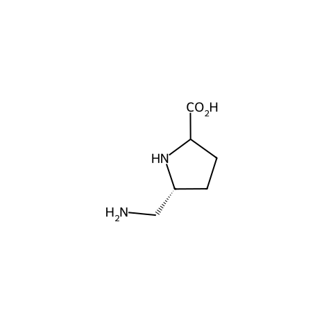 NC[C@H]1CCC(C(=O)O)N1